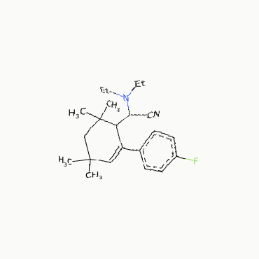 CCN(CC)C(C#N)C1C(c2ccc(F)cc2)=CC(C)(C)CC1(C)C